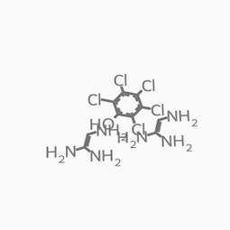 NC=C(N)N.NC=C(N)N.Oc1c(Cl)c(Cl)c(Cl)c(Cl)c1Cl